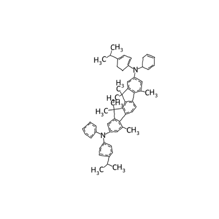 Cc1cc(N(c2ccccc2)c2ccc(C(C)C)cc2)cc2c1-c1ccc3c(c1C2(C)C)C(C)(C)c1cc(N(C2=CC=C(C(C)C)CC2)C2C=CC=CC2)cc(C)c1-3